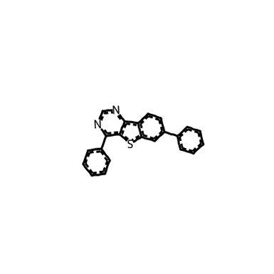 c1ccc(-c2ccc3c(c2)sc2c(-c4ccccc4)ncnc23)cc1